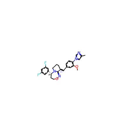 COc1cc(/C=C2\CCCN3C2=NOCC[C@@H]3c2cc(F)cc(F)c2)ccc1-n1cnc(C)c1